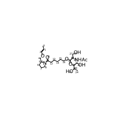 CC=COC[C@@H]1CCCN1C(=O)CCCCCOC(OC(CO)[C@@H](C)O)[C@H](CO)NC(C)=O